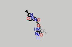 C[C@@H](COCCC(=O)N1CCN2c3ncc(C4CC4)cc3OCCC2C1)Nc1cn[nH]c(=O)c1C(F)(F)F